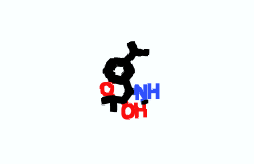 CNC1c2cc(C(C)C)ccc2OC(C)(C)C1O